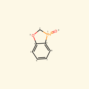 O=[PH]1COc2ccccc21